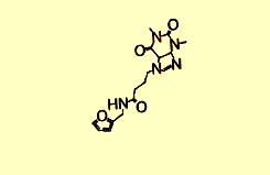 CN1C(=O)C2C(N=CN2CCCC(=O)NCc2ccco2)N(C)C1=O